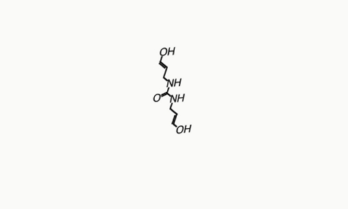 O=C(NCC=CO)NCC=CO